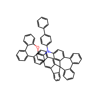 c1ccc(-c2ccc(N(c3ccc4c(c3)C3(c5ccccc5-c5ccccc5-4)c4ccccc4-c4cc5ccccc5cc43)c3cccc4c3Oc3ccccc3-c3ccccc3-4)cc2)cc1